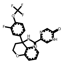 O=C(NC1(c2ccc(OC(F)(F)F)c(F)c2)CCOc2cccnc21)c1c[nH]c(=O)cn1